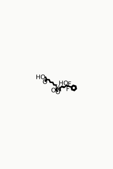 O=C(CO)CCCCCN1C(=O)OCC1C=CC(O)C(F)(F)c1ccccc1